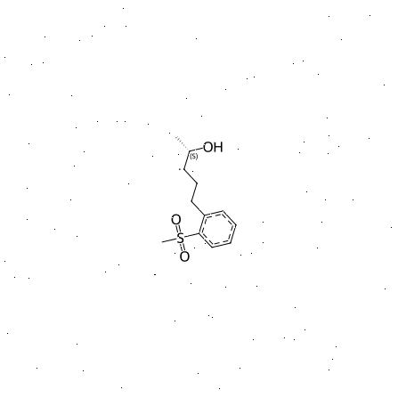 C[C@H](O)[CH]CCc1ccccc1S(C)(=O)=O